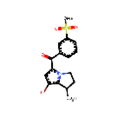 COS(=O)(=O)c1cccc(C(=O)c2cc(Br)c3n2CCC3C(=O)O)c1